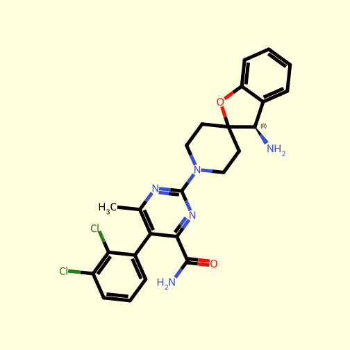 Cc1nc(N2CCC3(CC2)Oc2ccccc2[C@H]3N)nc(C(N)=O)c1-c1cccc(Cl)c1Cl